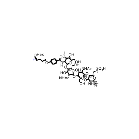 CCCCCC/C=C\CCCOc1ccc(C(=O)NC2[C@H](O[C@H]3C(O)C(NC(C)=O)[C@H](O[C@@H]4C(CO)O[C@@H](O[C@H]5C(O)C(NC(C)=O)C(O)O[C@H]5COS(=O)(=O)O)C(NC(C)=O)[C@H]4O)O[C@H]3CO)OC(CO)[C@@H](O)[C@@H]2O)cc1